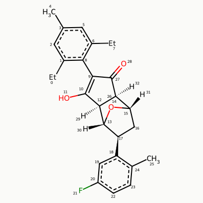 CCc1cc(C)cc(CC)c1C1=C(O)[C@@H]2[C@@H]3O[C@@H](C[C@H]3c3cc(F)ccc3C)[C@@H]2C1=O